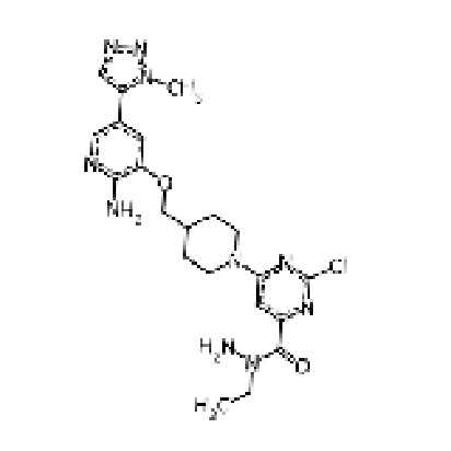 CCN(N)C(=O)c1cc(N2CCC(COc3cc(-c4cnnn4C)cnc3N)CC2)nc(Cl)n1